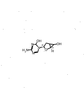 NC1=NC(O)N([C@H]2CC3C(O)[C@H]3O2)C=N1